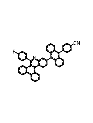 N#Cc1ccc(-c2c3ccccc3c(-c3ccc4c(c3)nc(-c3ccc(F)cc3)c3c5ccccc5c5ccccc5c43)c3ccccc23)cc1